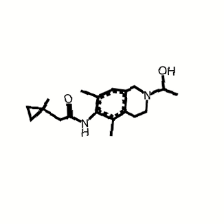 Cc1cc2c(c(C)c1NC(=O)CC1(C)CC1)CCN(C(C)O)C2